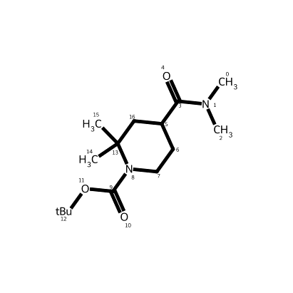 CN(C)C(=O)C1CCN(C(=O)OC(C)(C)C)C(C)(C)C1